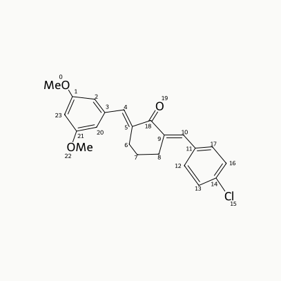 COc1cc(C=C2CCCC(=Cc3ccc(Cl)cc3)C2=O)cc(OC)c1